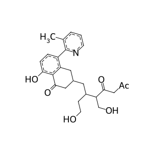 CC(=O)CC(=O)C(CO)C(CCO)CC1CC(=O)c2c(O)ccc(-c3ncccc3C)c2C1